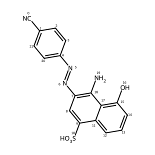 N#Cc1ccc(N=Nc2cc(S(=O)(=O)O)c3cccc(O)c3c2N)cc1